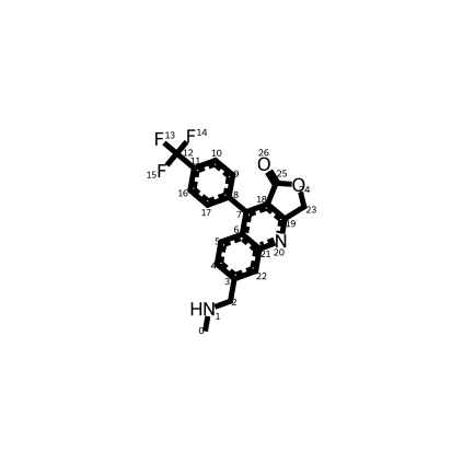 CNCc1ccc2c(-c3ccc(C(F)(F)F)cc3)c3c(nc2c1)COC3=O